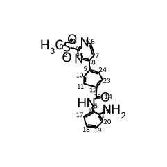 CS(=O)(=O)c1nccc(-c2ccc(C(=O)Nc3ccccc3N)cc2)n1